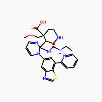 CCNC(=O)NC1(C2CNCCC2(COC)C(=O)O)N=CC=CN1c1cc(-c2ccccn2)c2scnc2c1